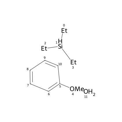 CC[SiH](CC)CC.COc1ccccc1.O